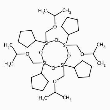 CC(C)OC[Si]1(C2CCCC2)O[Si](COC(C)C)(C2CCCC2)O[Si](COC(C)C)(C2CCCC2)O[Si](COC(C)C)(C2CCCC2)O1